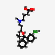 CN(CCCO[Si](c1ccccc1)(c1ccccc1)C(C)(C)C)CCCC(=O)O.Cl